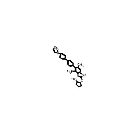 Cc1cc2[nH]c(O[C@@H]3CCCC3O)nc2c(P)c1-c1ccc(-c2ccc(-n3ccnn3)cc2)cc1